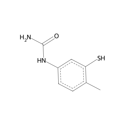 Cc1ccc(NC(N)=O)cc1S